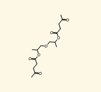 CC(=O)CCC(=O)OC(C)COCC(C)OC(=O)CCC(C)=O